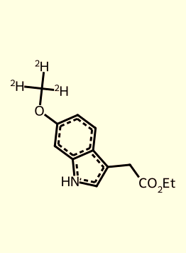 [2H]C([2H])([2H])Oc1ccc2c(CC(=O)OCC)c[nH]c2c1